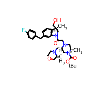 C[C@@H]1COCCN1C[C@H]1CN(C(=O)OC(C)(C)C)[C@@H](C)CN1CC(=O)N1C[C@@](C)(CO)c2ccc(Cc3ccc(F)cc3)cc21